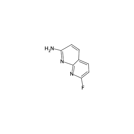 Nc1ccc2ccc(F)nc2n1